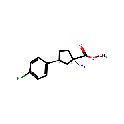 COC(=O)[C@]1(N)CC[C@H](c2ccc(Br)cc2)C1